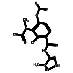 CCC(=O)N(C)c1c(OC(F)F)ccc(C(=O)NC2=NNNN2C)c1Cl